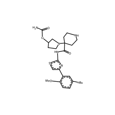 CCCCc1ccc(OC)c(-c2csc(NC(=O)C3(N4CCC(OC(N)=O)C4)CCNCC3)n2)c1